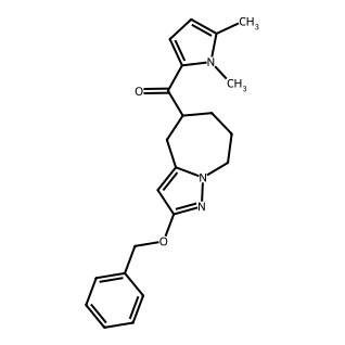 Cc1ccc(C(=O)C2CCCn3nc(OCc4ccccc4)cc3C2)n1C